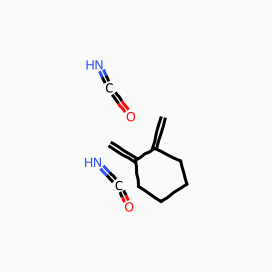 C=C1CCCCC1=C.N=C=O.N=C=O